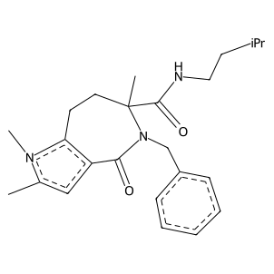 Cc1cc2c(n1C)CCC(C)(C(=O)NCCC(C)C)N(Cc1ccccc1)C2=O